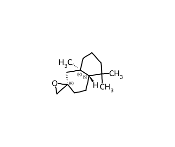 CC1(C)CCC[C@]2(C)C[C@]3(CC[C@@H]12)CO3